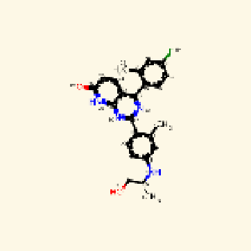 Cc1cc(N[C@H](C)CO)ccc1-c1nc(-c2ccc(F)cc2C)c2ccc(=O)[nH]c2n1